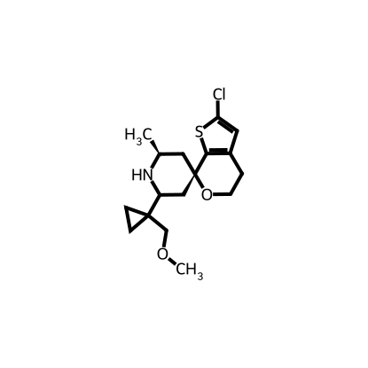 COCC1(C2C[C@]3(C[C@H](C)N2)OCCc2cc(Cl)sc23)CC1